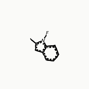 Cc1cc2ccccc2n1F